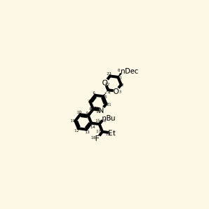 CCCCCCCCCC[C@H]1CO[C@H](c2ccc(-c3ccccc3C(CCCC)C(F)CC)nc2)OC1